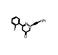 CCCC#CN1CC(=O)CC(c2ccccc2F)=N1